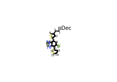 CCCCCCCCCCCCc1csc(-c2cc(F)c(-c3cccs3)c3nsnc23)c1